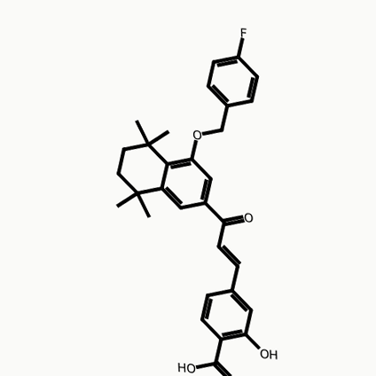 CC1(C)CCC(C)(C)c2c(OCc3ccc(F)cc3)cc(C(=O)C=Cc3ccc(C(=O)O)c(O)c3)cc21